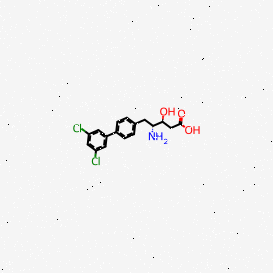 N[C@H](Cc1ccc(-c2cc(Cl)cc(Cl)c2)cc1)[C@@H](O)CC(=O)O